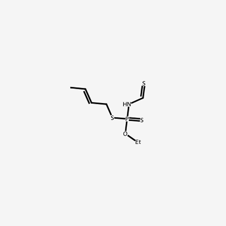 CC=CCSP(=S)(NC=S)OCC